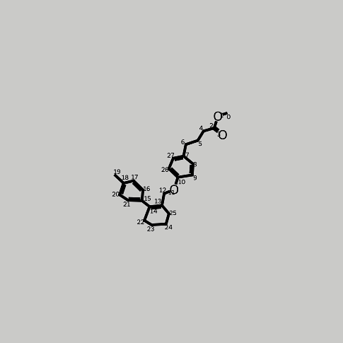 COC(=O)CCCc1ccc(OCC2=C(c3ccc(C)cc3)CCCC2)cc1